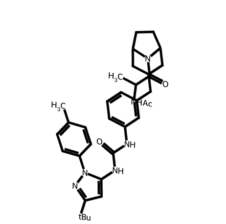 CC(=O)NC(C)C(=O)N1C2CCC1CC(Cc1cccc(NC(=O)Nc3cc(C(C)(C)C)nn3-c3ccc(C)cc3)c1)C2